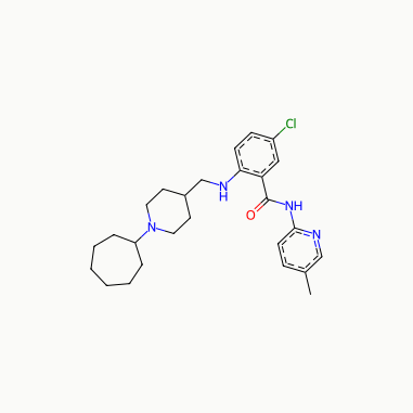 Cc1ccc(NC(=O)c2cc(Cl)ccc2NCC2CCN(C3CCCCCC3)CC2)nc1